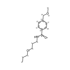 CCCOCCCNC(=O)c1ccc(COC)cc1